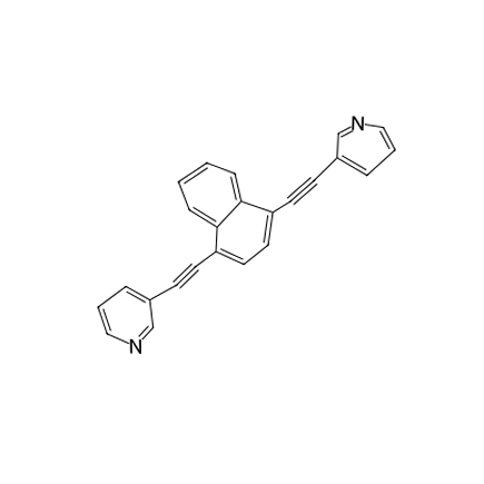 C(#Cc1ccc(C#Cc2cccnc2)c2ccccc12)c1cccnc1